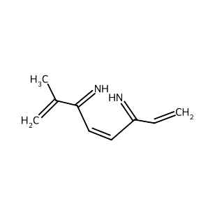 C=CC(=N)/C=C\C(=N)C(=C)C